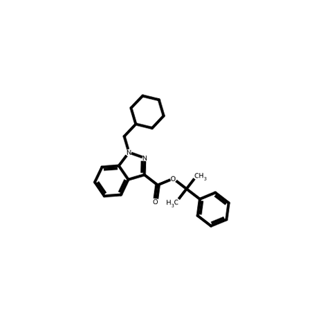 CC(C)(OC(=O)c1nn(CC2CCCCC2)c2ccccc12)c1ccccc1